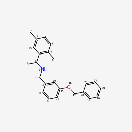 Cc1ccc(C)c(C(C)NCc2cccc(OCc3ccccc3)c2)c1